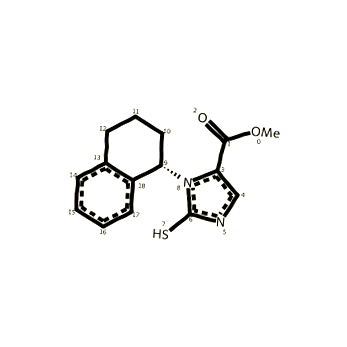 COC(=O)c1cnc(S)n1[C@H]1CCCc2ccccc21